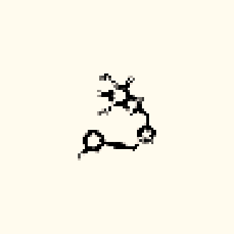 CCCn1c(=O)c2[nH]c(Cc3cnn(CC#Cc4cccc(F)c4)c3)nc2n(CCC)c1=O